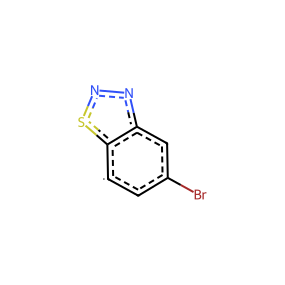 Brc1c[c]c2snnc2c1